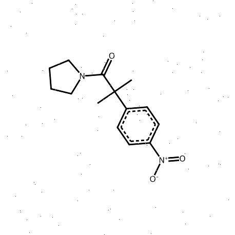 CC(C)(C(=O)N1CCCC1)c1ccc([N+](=O)[O-])cc1